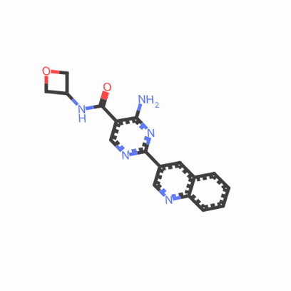 Nc1nc(-c2cnc3ccccc3c2)ncc1C(=O)NC1COC1